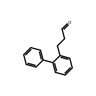 O=[C]CCc1ccccc1-c1ccccc1